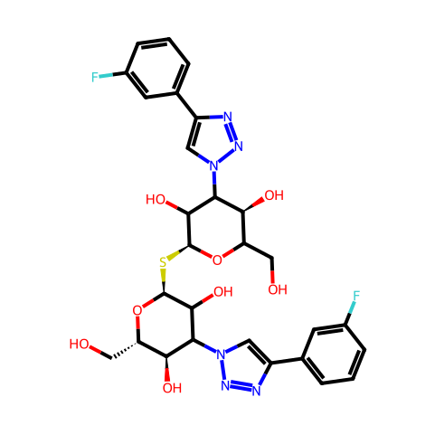 OCC1O[C@@H](S[C@@H]2O[C@@H](CO)[C@H](O)C(n3cc(-c4cccc(F)c4)nn3)C2O)C(O)C(n2cc(-c3cccc(F)c3)nn2)[C@H]1O